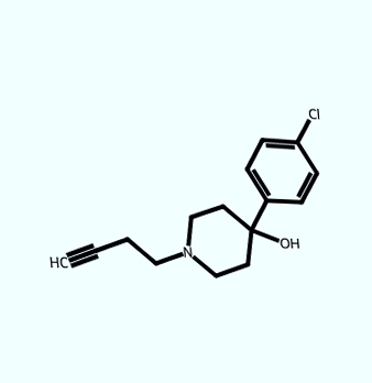 C#CCCN1CCC(O)(c2ccc(Cl)cc2)CC1